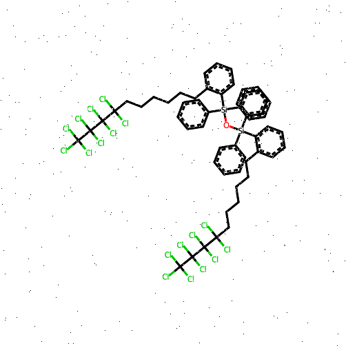 ClC(Cl)(Cl)C(Cl)(Cl)C(Cl)(Cl)C(Cl)(Cl)CCCCCCc1ccccc1[Si](O[Si](c1ccccc1)(c1ccccc1)c1ccccc1CCCCCCC(Cl)(Cl)C(Cl)(Cl)C(Cl)(Cl)C(Cl)(Cl)Cl)(c1ccccc1)c1ccccc1